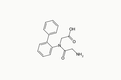 NCC(=O)N(CC(=O)O)c1ccccc1-c1ccccc1